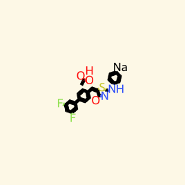 CC(=O)O.O=C1N=C(Nc2cc[c]([Na])cc2)S/C1=C/c1ccc(-c2cc(F)cc(F)c2)cc1